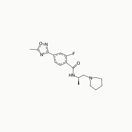 Cc1nc(-c2ccc(C(=O)N[C@H](C)CN3CCCCC3)c(F)c2)no1